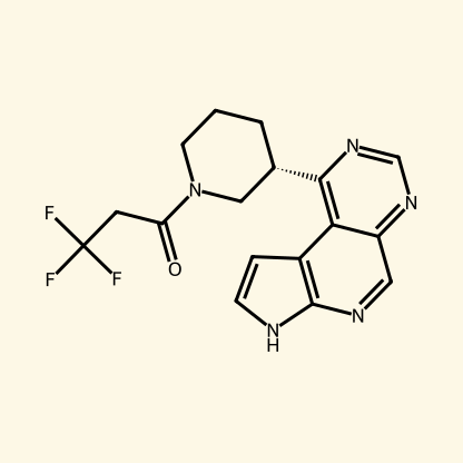 O=C(CC(F)(F)F)N1CCC[C@H](c2ncnc3cnc4[nH]ccc4c23)C1